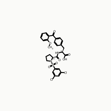 COc1ccccc1C(=O)c1ccc(C[C@H](NC(=O)[C@@H]2CCCN2S(=O)(=O)c2cc(Cl)cc(Cl)c2)C(=O)O)cc1